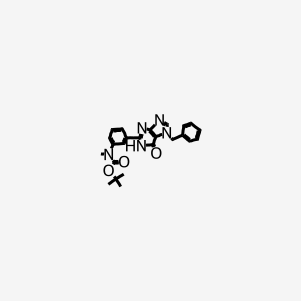 CN(C(=O)OC(C)(C)C)c1cccc(-c2nc3ncn(Cc4ccccc4)c3c(=O)[nH]2)c1